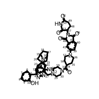 Nc1nnc(-c2ccccc2O)cc1N1CC2CCC(C1)N2c1cccc(CN2CCN(C(=O)C3CCN(c4ccc5c(c4)C(=O)N(C4CCC(=O)NC4=O)C5=O)CC3)CC2)c1